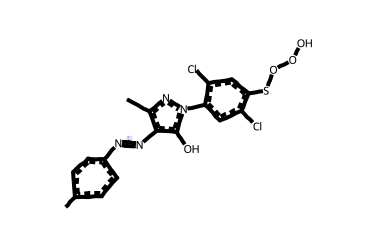 Cc1ccc(/N=N/c2c(C)nn(-c3cc(Cl)c(SOOO)cc3Cl)c2O)cc1